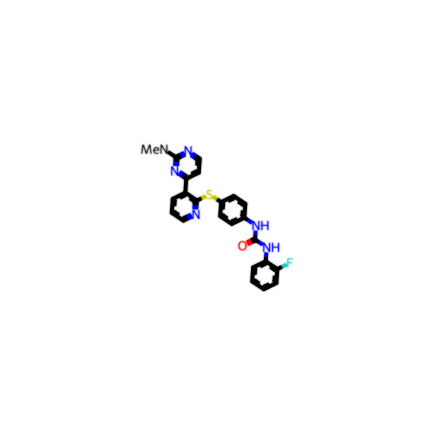 CNc1nccc(-c2cccnc2Sc2ccc(NC(=O)Nc3ccccc3F)cc2)n1